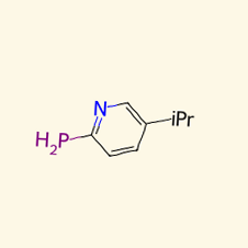 CC(C)c1ccc(P)nc1